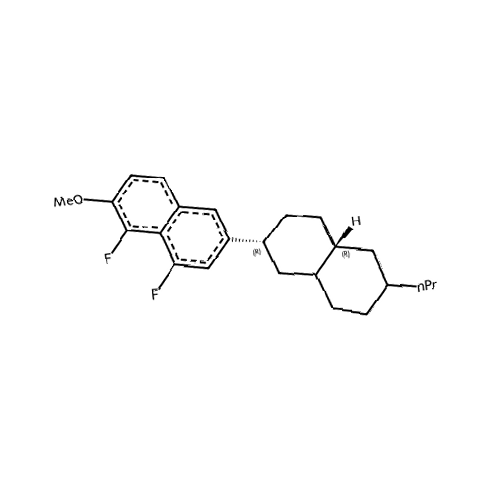 CCCC1CCC2C[C@H](c3cc(F)c4c(F)c(OC)ccc4c3)CC[C@@H]2C1